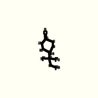 O=C1CCN(C(F)(F)CF)CC1